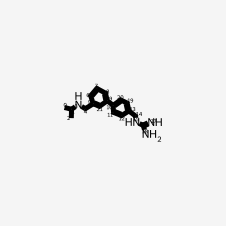 CC(C)NCc1cccc(-c2ccc(CNC(=N)N)cc2)c1